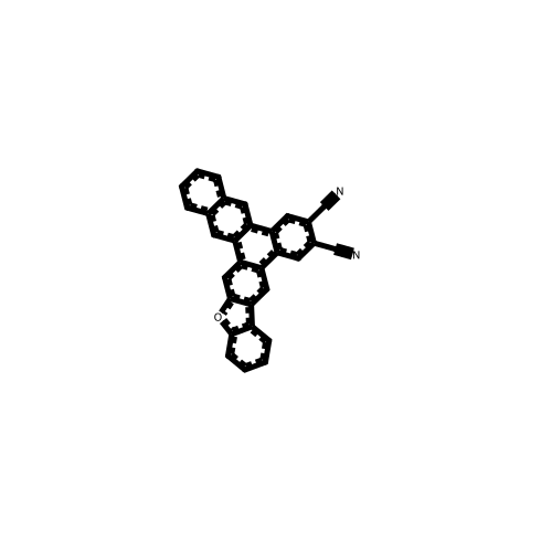 N#Cc1cc2c(cc1C#N)c1cc3c(cc1c1cc4ccccc4cc21)oc1ccccc13